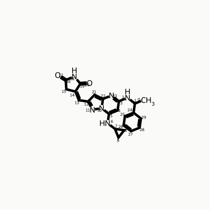 CC(Nc1cc(NC2CC2)n2nc(C=C3CC(=O)NC3=O)cc2n1)c1ccccc1